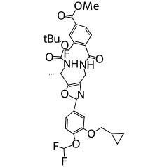 COC(=O)c1ccc(C(=O)NCc2nc(-c3ccc(OC(F)F)c(OCC4CC4)c3)oc2[C@H](C)NC(=O)OC(C)(C)C)c(F)c1